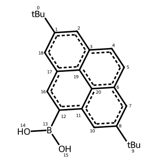 CC(C)(C)c1cc2ccc3cc(C(C)(C)C)cc4c(B(O)O)cc(c1)c2c34